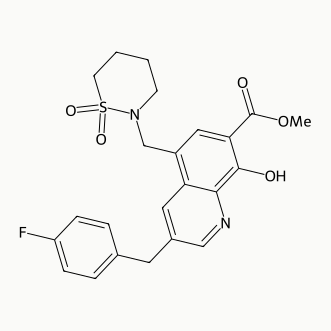 COC(=O)c1cc(CN2CCCCS2(=O)=O)c2cc(Cc3ccc(F)cc3)cnc2c1O